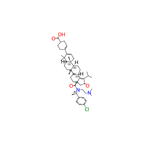 CC(C)C1=C2[C@H]3CC[C@@H]4[C@@]5(C)CC=C(C6=CCC(C(=O)O)CC6)C(C)(C)[C@@H]5CC[C@@]4(C)[C@]3(C)CC[C@@]2(C(=O)N(CCN(C)C)[C@H](C)c2ccc(Cl)cc2)CC1=O